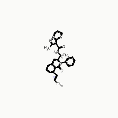 C/C=C/c1cccc2cc([C@@H](C)NC(=O)c3c(C)nn4cccnc34)n(-c3ccccc3)c(=O)c12